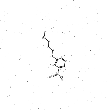 COCCCOc1cccc(C(=O)Cl)c1